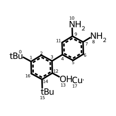 CC(C)(C)c1cc(-c2ccc(N)c(N)c2)c(O)c(C(C)(C)C)c1.[Cu]